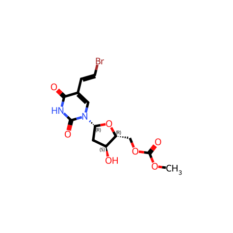 COC(=O)OC[C@H]1O[C@@H](n2cc(C=CBr)c(=O)[nH]c2=O)C[C@@H]1O